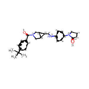 CC(C)(C)c1ccc(C(=O)N2CC3C(CNc4ccc(N5CCCC5=O)cc4)C3C2)cc1